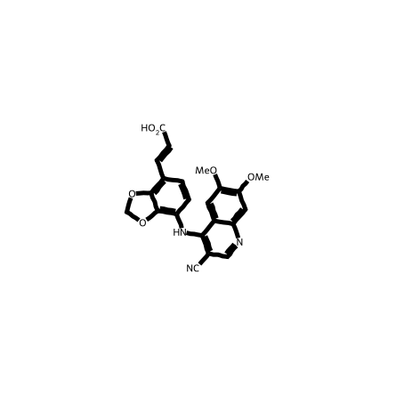 COc1cc2ncc(C#N)c(Nc3ccc(C=CC(=O)O)c4c3OCO4)c2cc1OC